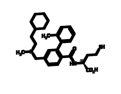 Cc1ccccc1-c1cc(CN(C)CCC2CCCCC2)ccc1C(=O)N[C@H](CCS)C(=O)O